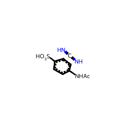 CC(=O)Nc1ccc(S(=O)(=O)O)cc1.N=C=N